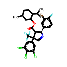 CC1CCC(C(C)C)C(OC(=O)C2[C@@H](c3ccc(F)c(Br)c3)N=CC2(c2cc(Cl)c(Cl)c(Cl)c2)C(F)(F)F)C1